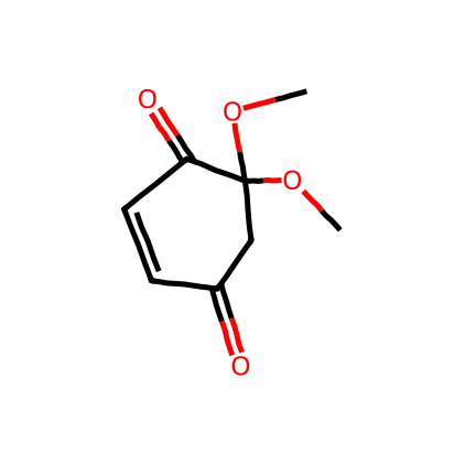 COC1(OC)CC(=O)C=CC1=O